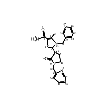 CC1=C(C(N)=O)SC(N2CCN(Cc3ccccn3)C2=O)N1Cc1cccnc1